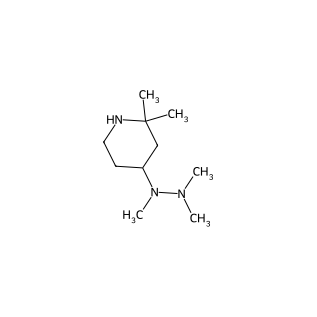 CN(C)N(C)C1CCNC(C)(C)C1